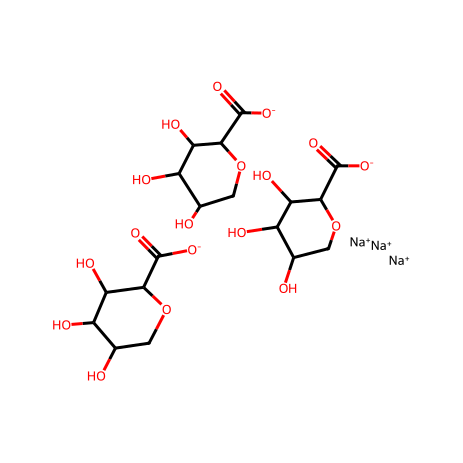 O=C([O-])C1OCC(O)C(O)C1O.O=C([O-])C1OCC(O)C(O)C1O.O=C([O-])C1OCC(O)C(O)C1O.[Na+].[Na+].[Na+]